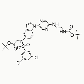 CC(C)(C)OC(=O)CN(c1ccc2c(ccn2-c2cnc(NCCNC(=O)OC(C)(C)C)cn2)c1)S(=O)(=O)c1cc(Cl)cc(Cl)c1